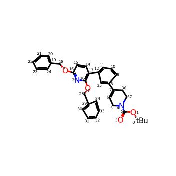 CC(C)(C)OC(=O)N1CC=C(c2cccc(-c3ccc(OCc4ccccc4)nc3OCc3ccccc3)c2)CC1